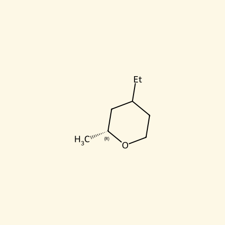 CCC1CCO[C@H](C)C1